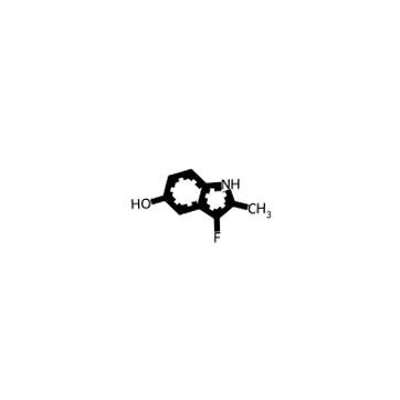 Cc1[nH]c2ccc(O)cc2c1F